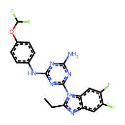 CCc1nc2cc(F)c(F)cc2n1-c1nc(N)nc(Nc2ccc(OC(F)F)cc2)n1